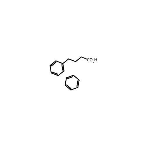 O=C(O)CCCc1ccccc1.c1ccccc1